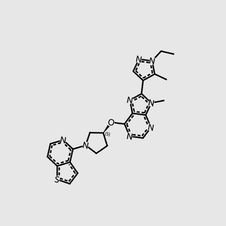 CCn1ncc(-c2nc3c(O[C@H]4CCN(c5nccc6sccc56)C4)ncnc3n2C)c1C